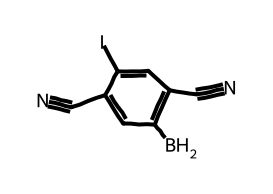 Bc1cc(C#N)c(I)cc1C#N